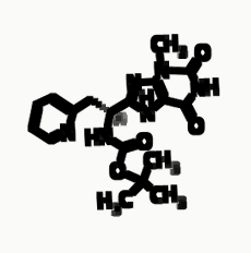 Cn1c(=O)[nH]c(=O)c2[nH]c([C@@H](Cc3ccccn3)NC(=O)OC(C)(C)C)nc21